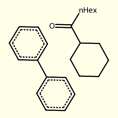 CCCCCCC(=O)C1CCCCC1.c1ccc(-c2ccccc2)cc1